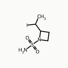 CC(I)C1CCN1S(N)(=O)=O